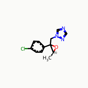 C[C@@H]1OC1(Cn1cncn1)c1ccc(Cl)cc1